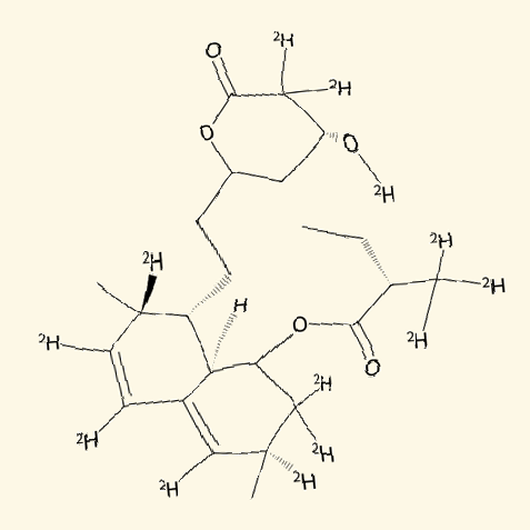 [2H]O[C@@H]1CC(CC[C@@H]2[C@@H]3C(=C([2H])[C@]([2H])(C)C([2H])([2H])C3OC(=O)[C@H](CC)C([2H])([2H])[2H])C([2H])=C([2H])[C@]2([2H])C)OC(=O)C1([2H])[2H]